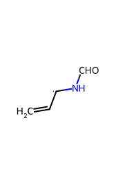 C=C[CH]NC=O